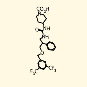 O=C(NCC(COCc1cc(C(F)(F)F)cc(C(F)(F)F)c1)c1ccccc1)NC1CCN(C(=O)O)CC1